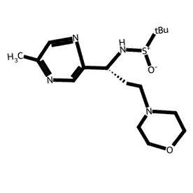 Cc1cnc([C@@H](CCN2CCOCC2)N[S+]([O-])C(C)(C)C)cn1